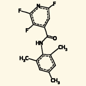 Cc1cc(C)c(NC(=O)c2cc(F)nc(F)c2F)c(C)c1